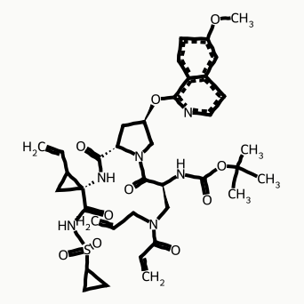 C=CCN(C[C@H](NC(=O)OC(C)(C)C)C(=O)N1C[C@H](Oc2nccc3cc(OC)ccc23)C[C@H]1C(=O)N[C@]1(C(=O)NS(=O)(=O)C2CC2)CC1C=C)C(=O)C=C